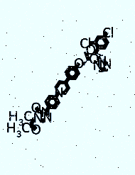 CC(=O)C(C)n1cnn(-c2ccc(N3CCC(c4ccc(OC[C@@H]5CO[C@@](Cn6nccn6)(C6=CC=C(Cl)CC6Cl)O5)cc4)CC3)cc2)c1=O